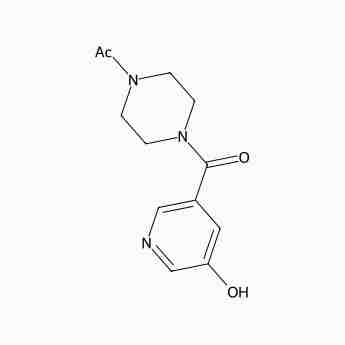 CC(=O)N1CCN(C(=O)c2cncc(O)c2)CC1